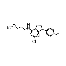 CCOCCCNc1nc(Cl)nc2c1CCC2c1ccc(F)cc1